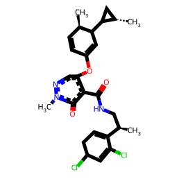 C[C@H](CNC(=O)c1c(OC2=CC(C3C[C@@H]3C)[C@H](C)C=C2)cnn(C)c1=O)C1=CCC(Cl)C=C1Cl